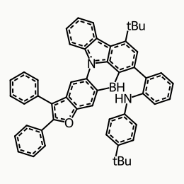 CC(C)(C)c1ccc(Nc2ccccc2-c2cc(C(C)(C)C)c3c4ccccc4n4c3c2Bc2cc3oc(-c5ccccc5)c(-c5ccccc5)c3cc2-4)cc1